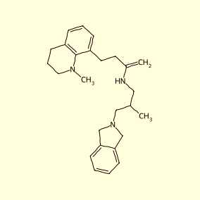 C=C(CCc1cccc2c1N(C)CCC2)NCC(C)CN1Cc2ccccc2C1